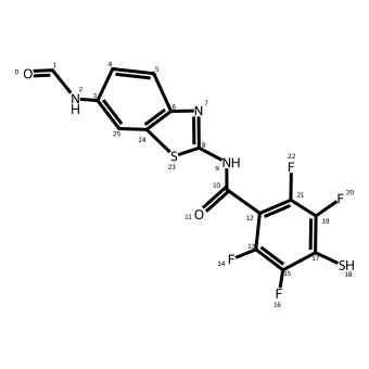 O=CNc1ccc2nc(NC(=O)c3c(F)c(F)c(S)c(F)c3F)sc2c1